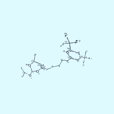 CC(C)OC(O[SiH2]CCCCCc1cc(C(F)(F)F)cc(C(F)(F)F)c1)OC(C)C